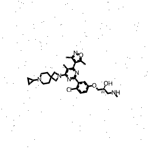 CNC[C@H](O)COc1ccc(Cl)c(-c2nc(-c3c(C)noc3C)c(C)c(N3CC4(CCN(C5CC5)CC4)C3)n2)c1